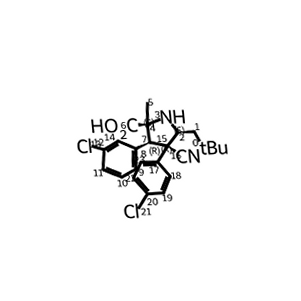 CC(C)(C)C[C@@H]1N[C@](C)(C(=O)O)[C@H](c2cccc(Cl)c2)[C@@]1(C#N)c1ccc(Cl)cc1